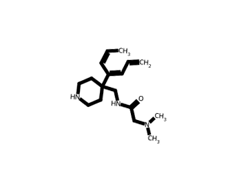 C=C/C=C(\C=C/C)C1(CNC(=O)CN(C)C)CCNCC1